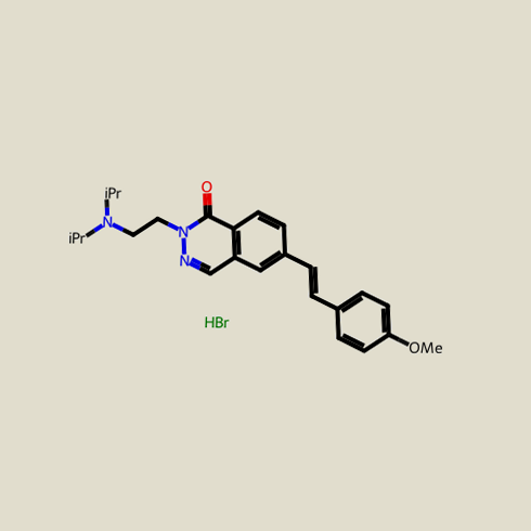 Br.COc1ccc(C=Cc2ccc3c(=O)n(CCN(C(C)C)C(C)C)ncc3c2)cc1